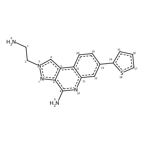 NCCn1cc2c(n1)c(N)nc1cc(-c3cccs3)ccc12